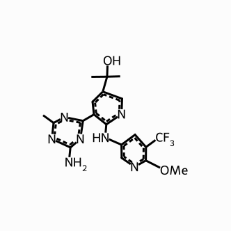 COc1ncc(Nc2ncc(C(C)(C)O)cc2-c2nc(C)nc(N)n2)cc1C(F)(F)F